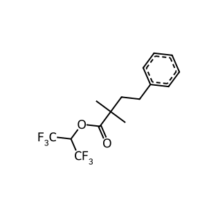 CC(C)(CCc1ccccc1)C(=O)OC(C(F)(F)F)C(F)(F)F